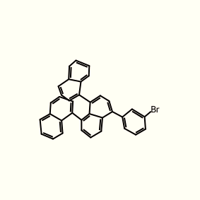 Brc1cccc(-c2ccc(-c3cccc4ccccc34)c3c(-c4cccc5ccccc45)cccc23)c1